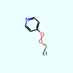 CCSOOc1ccncc1